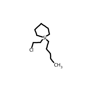 CCCCC[Si]1(CCCl)CCCCC1